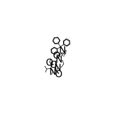 COC(=O)C(C(C)C)N(C)C(=O)N1CCCN(C(=O)[C@@H]2CCN2C(c2ccccc2)(c2ccccc2)c2ccccc2)CC1